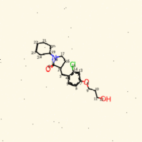 O=C1C(Cc2ccc(OCCCO)cc2Cl)CCN1C1CCCCC1